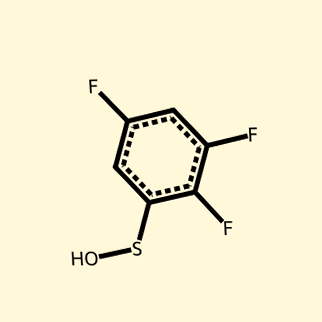 OSc1cc(F)cc(F)c1F